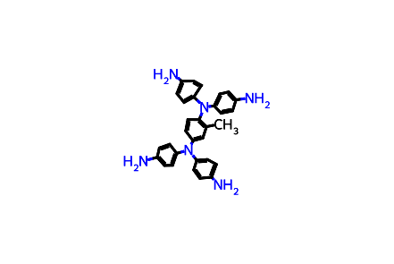 Cc1cc(N(c2ccc(N)cc2)c2ccc(N)cc2)ccc1N(c1ccc(N)cc1)c1ccc(N)cc1